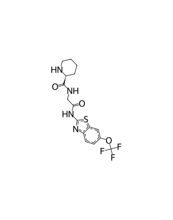 O=C(CNC(=O)[C@@H]1CCCCN1)Nc1nc2ccc(OC(F)(F)F)cc2s1